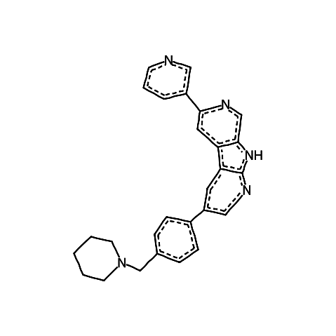 c1cncc(-c2cc3c(cn2)[nH]c2ncc(-c4ccc(CN5CCCCC5)cc4)cc23)c1